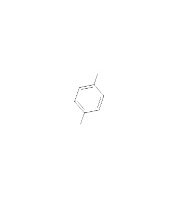 O=Cc1[c]cc(C(F)(F)F)cc1